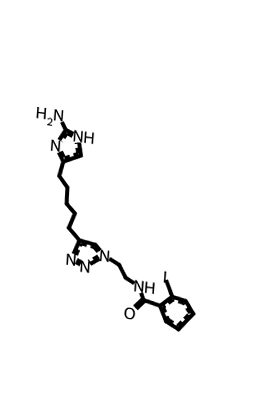 Nc1nc(CCCCCc2cn(CCNC(=O)c3ccccc3I)nn2)c[nH]1